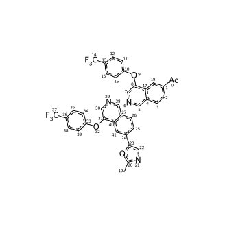 CC(=O)c1ccc2cncc(Oc3ccc(C(F)(F)F)cc3)c2c1.Cc1ncc(-c2ccc3cncc(Oc4ccc(C(F)(F)F)cc4)c3c2)o1